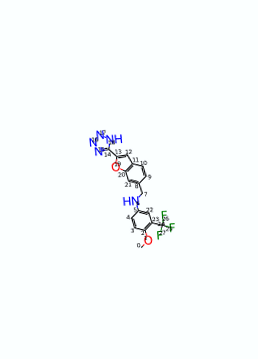 COc1ccc(NCc2ccc3cc(-c4nnn[nH]4)oc3c2)cc1C(F)(F)F